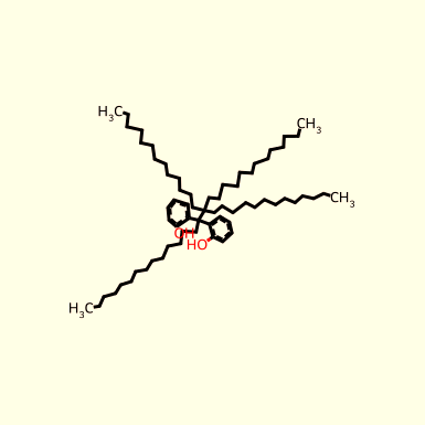 CCCCCCCCCCCCCCC(c1ccccc1O)(c1ccccc1O)C(CCCCCCCCCCCCC)(CCCCCCCCCCCCC)CCCCCCCCCCCCC